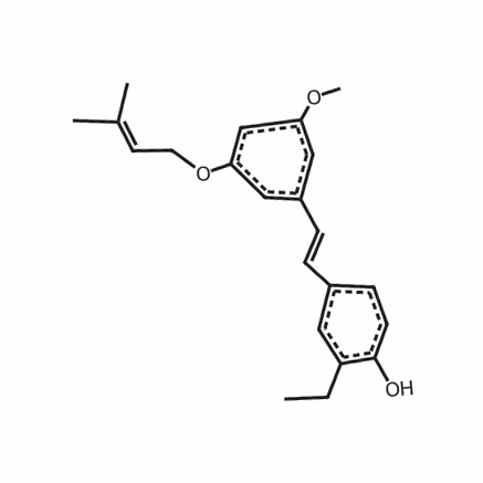 CCc1cc(/C=C/c2cc(OC)cc(OCC=C(C)C)c2)ccc1O